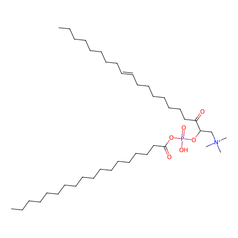 CCCCCCCCC=CCCCCCCCC(=O)C(C[N+](C)(C)C)OP(=O)(O)OC(=O)CCCCCCCCCCCCCCCCC